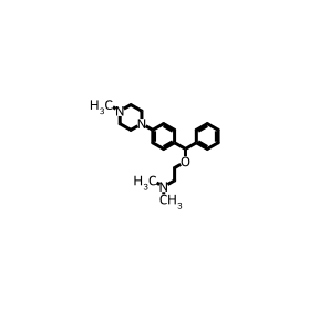 CN(C)CCOC(c1ccccc1)c1ccc(N2CCN(C)CC2)cc1